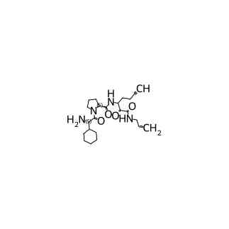 C#CCCC(NC(=O)[C@@H]1CCCN1C(=O)[C@@H](N)C1CCCCC1)C(=O)C(=O)NCC=C